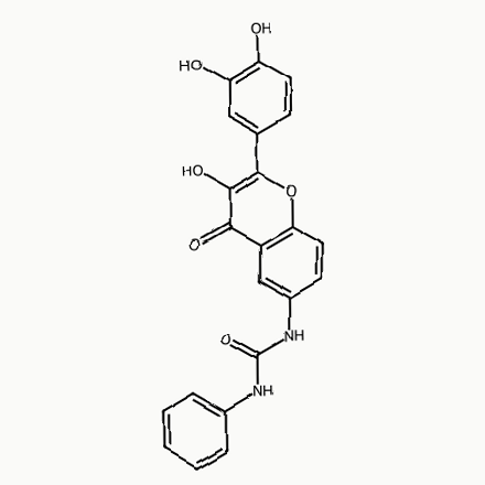 O=C(Nc1ccccc1)Nc1ccc2oc(-c3ccc(O)c(O)c3)c(O)c(=O)c2c1